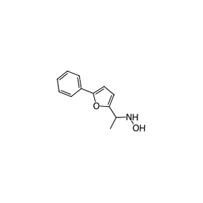 CC(NO)c1ccc(-c2ccccc2)o1